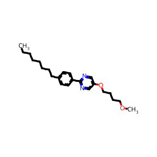 CCCCCCCCc1ccc(-c2ncc(OCCCCOC)cn2)cc1